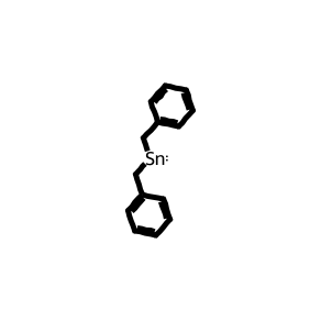 c1ccc([CH2][Sn][CH2]c2ccccc2)cc1